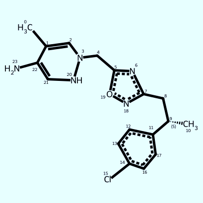 CC1=CN(Cc2nc(C[C@H](C)c3ccc(Cl)cc3)no2)NC=C1N